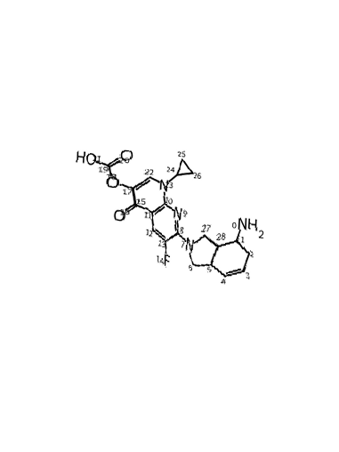 NC1CC=CC2CN(c3nc4c(cc3F)c(=O)c(OC(=O)O)cn4C3CC3)CC12